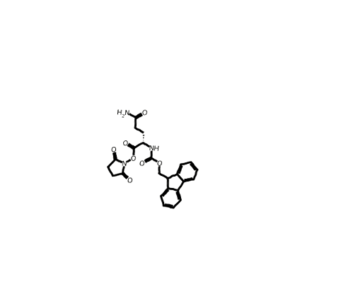 NC(=O)CC[C@H](NC(=O)OCC1c2ccccc2-c2ccccc21)C(=O)ON1C(=O)CCC1=O